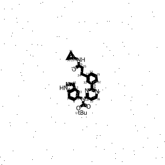 CC(C)(C)OC(=O)N(c1ccc2[nH]ncc2c1)c1ccnc(-c2cccc(CCC(=O)NC3CC3)c2)n1